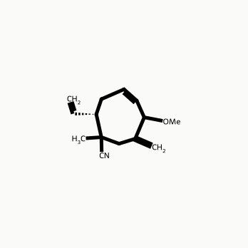 C=C[C@@H]1C/C=C\C(OC)C(=C)CC1(C)C#N